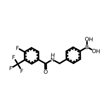 O=C(NCc1ccc(B(O)O)cc1)c1ccc(F)c(C(F)(F)F)c1